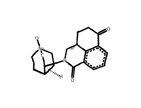 O=C1CC[C@@H]2CN([C@@H]3C[N+]4([O-])CCC3CC4)C(=O)c3cccc1c32